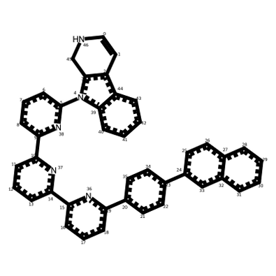 C1=Cc2c(n(-c3cccc(-c4cccc(-c5cccc(-c6ccc(-c7ccc8ccccc8c7)cc6)n5)n4)n3)c3ccccc23)CN1